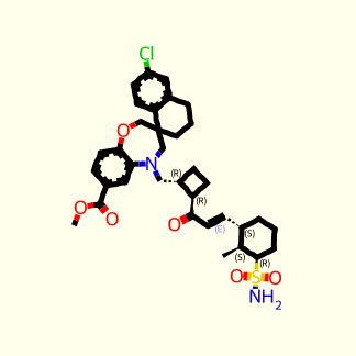 COC(=O)c1ccc2c(c1)N(C[C@@H]1CC[C@H]1C(=O)/C=C/[C@@H]1CCC[C@@H](S(N)(=O)=O)[C@H]1C)CC1(CCCc3cc(Cl)ccc31)CO2